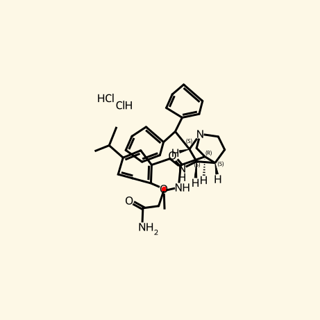 COc1ccc(C(C)C)cc1CN[C@H]1[C@H]2CCN(C[C@@H]2C(=O)NCCC(N)=O)[C@H]1C(c1ccccc1)c1ccccc1.Cl.Cl